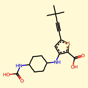 CC(C)(C)C#Cc1cc(NC2CCC(NC(=O)O)CC2)c(C(=O)O)s1